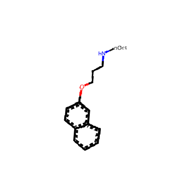 CCCCCCCCNCCCOc1ccc2ccccc2c1